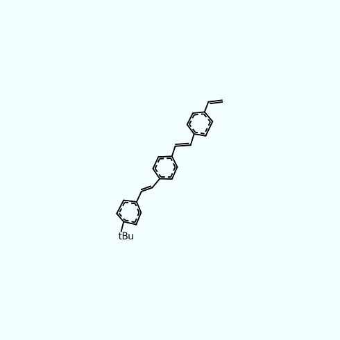 C=Cc1ccc(C=Cc2ccc(C=Cc3ccc(C(C)(C)C)cc3)cc2)cc1